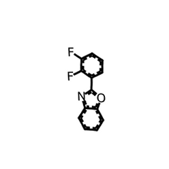 Fc1cccc(-c2nc3ccccc3o2)c1F